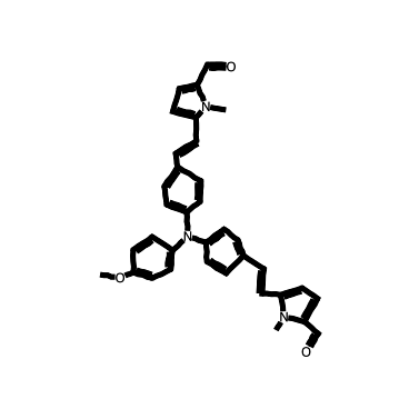 COc1ccc(N(c2ccc(C=Cc3ccc(C=O)n3C)cc2)c2ccc(C=Cc3ccc(C=O)n3C)cc2)cc1